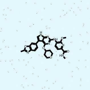 CNC(=O)c1ccc(Nc2nc(OC3CCOCC3)c3c(-c4ccc5nc(C)oc5c4)c[nH]c3n2)c(OC)n1